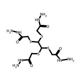 NNC(=O)CSC(SCC(=O)NN)C(SCC(=O)NN)SCC(=O)NN